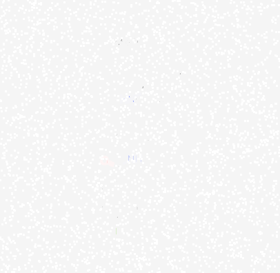 COc1cc2c(N[C@H]3CC[C@@H](NC(=O)c4ccc(F)cc4)CC3)cccc2s1